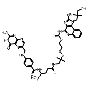 CCCCc1nc2c(NC(=O)OCCSSC(C)(C)CNC(=O)CCC(NC(=O)c3ccc(NCc4cnc5nc(N)[nH]c(=O)c5n4)cc3)C(=O)O)nc3ccccc3c2n1CC(C)(C)CO